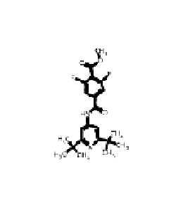 COC(=O)c1c(F)cc(C(=O)Nc2cc(C(C)(C)C)nc(C(C)(C)C)c2)cc1F